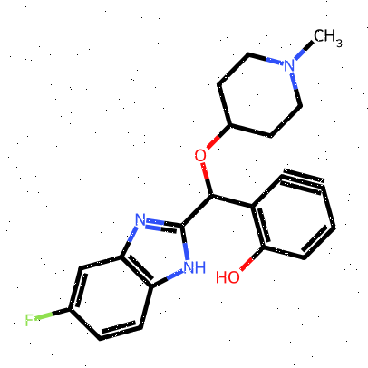 CN1CCC(OC(c2nc3cc(F)ccc3[nH]2)c2c#cccc2O)CC1